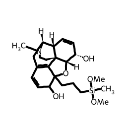 CO[Si](C)(CCCC12O[C@H]3[C@@H](O)C=C[C@H]4[C@H]5CC(=C1[C@]43CCN5C)C=CC2O)OC